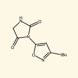 CC(C)(C)c1cc(N2C(=O)CNC2=O)on1